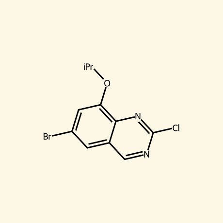 CC(C)Oc1cc(Br)cc2cnc(Cl)nc12